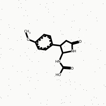 COc1ccc(C2CC(=O)NC2NC(=O)O)cc1